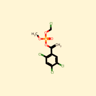 C=C(OP(=O)(OC)OCCl)c1cc(Cl)c(Cl)cc1Cl